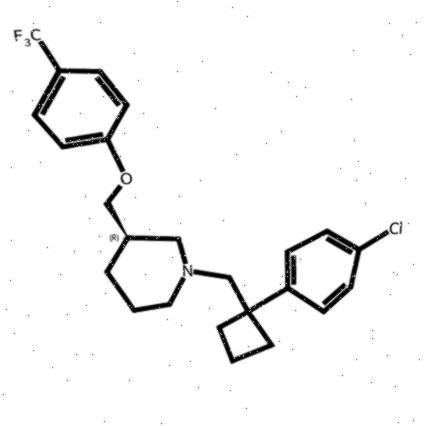 FC(F)(F)c1ccc(OC[C@@H]2CCCN(CC3(c4ccc(Cl)cc4)CCC3)C2)cc1